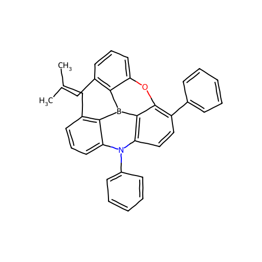 CCCc1cccc2c1B1c3c(CCC)cccc3N(c3ccccc3)c3ccc(-c4ccccc4)c(c31)O2